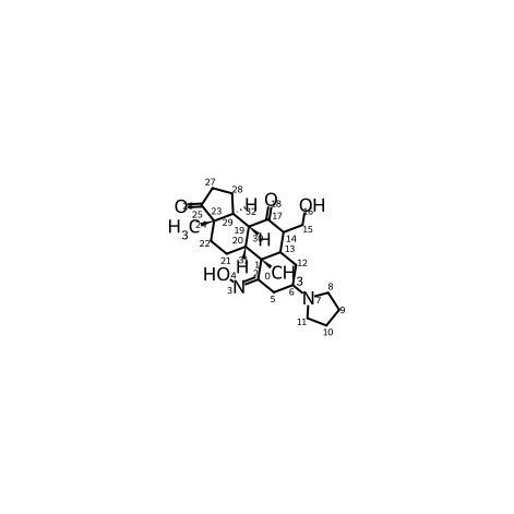 C[C@]12/C(=N\O)CC(N3CCCC3)CC1C(CO)C(=O)[C@@H]1[C@H]2CC[C@]2(C)C(=O)CC[C@@H]12